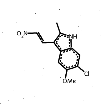 COc1cc2c(C=C[N+](=O)[O-])c(C)[nH]c2cc1Cl